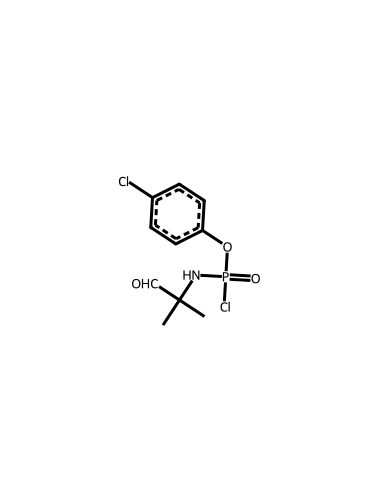 CC(C)(C=O)NP(=O)(Cl)Oc1ccc(Cl)cc1